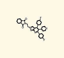 O=C1c2ccccc2C(=O)N1CCn1cc2c(-c3ccc(F)cc3)c(-c3ccncc3)c(-c3ccc(F)cc3)nc2n1